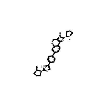 c1cc(-c2cnc([C@@H]3CCCN3)[nH]2)ccc1-c1ccc2c(c1)OCc1[nH]c([C@@H]3CCCN3)nc1-2